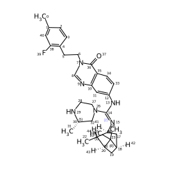 Cc1ccc(CCn2cnc3cc(N/C(=N/[C@H]4C[C@H]5C[C@@H]([C@@H]4C)C5(C)C)N4CCN[C@@H](C)C4)ccc3c2=O)c(F)c1